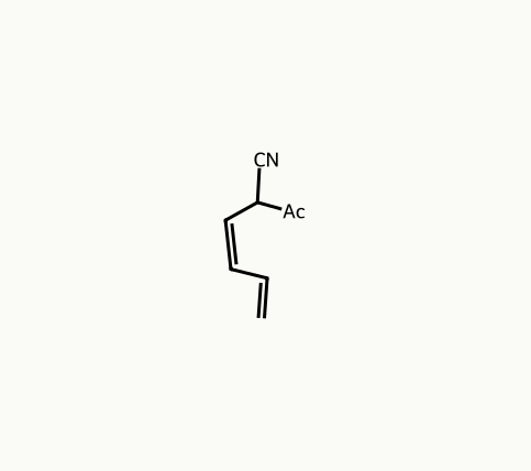 C=C/C=C\C(C#N)C(C)=O